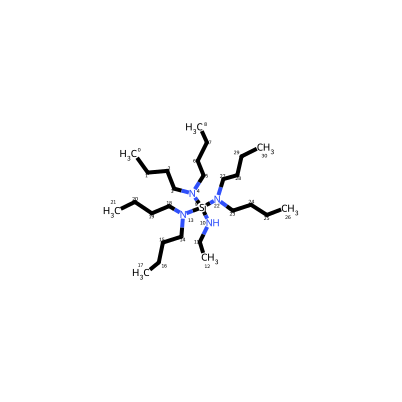 CCCCN(CCCC)[Si](NCC)(N(CCCC)CCCC)N(CCCC)CCCC